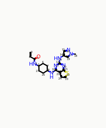 C=CC(=O)NC1CCC(Nc2nc(Nc3cnn(C)c3)nc3sccc23)CC1